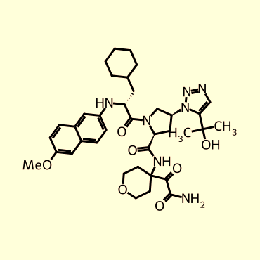 COc1ccc2cc(N[C@H](CC3CCCCC3)C(=O)N3C[C@@H](n4nncc4C(C)(C)O)C[C@H]3C(=O)NC3(C(=O)C(N)=O)CCOCC3)ccc2c1